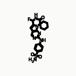 NS(=O)(=O)c1ccc(Nc2ncc3cc4n(c3n2)C2(CCCCC2)C(=O)NC4F)cc1